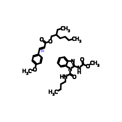 CCCCC(CC)COC(=O)/C=C/c1ccc(OC)cc1.CCCCNC(=O)n1c(NC(=O)OC)nc2ccccc21